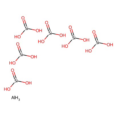 O=[Si](O)O.O=[Si](O)O.O=[Si](O)O.O=[Si](O)O.O=[Si](O)O.O=[Si](O)O.[AlH3]